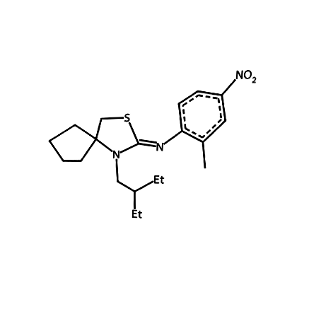 CCC(CC)CN1C(=Nc2ccc([N+](=O)[O-])cc2C)SCC12CCCC2